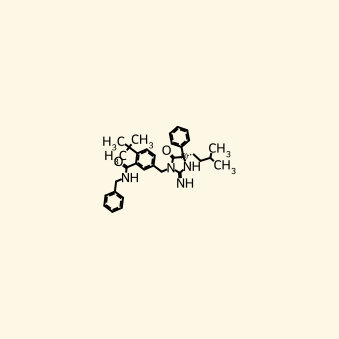 CC(C)CC[C@]1(c2ccccc2)NC(=N)N(Cc2ccc(C(C)(C)C)c(C(=O)NCc3ccccc3)c2)C1=O